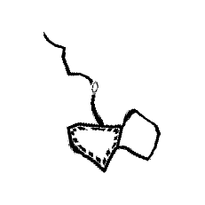 CCCOc1cccc2c1CC[CH]2